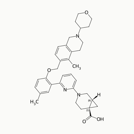 Cc1ccc(OCc2ccc3c(c2C)CCN(C2CCOCC2)C3)c(-c2cccc(N3CC[C@@]4(C(=O)O)C[C@H]4C3)n2)c1